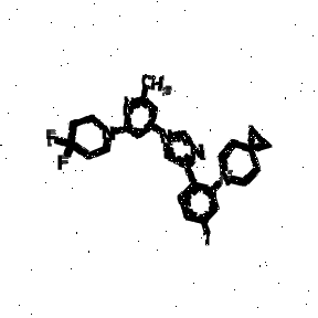 Cc1cc(-n2cnc(-c3ccc(I)cc3N3CCC4(CC3)CC4)c2)cc(N2CCC(F)(F)CC2)n1